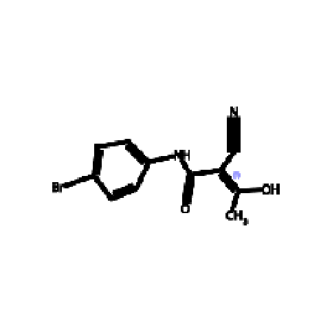 C/C(O)=C(/C#N)C(=O)Nc1ccc(Br)cc1